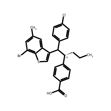 CCC[C@H](c1ccc(C(=O)O)cc1)C(c1ccc(Cl)cc1)c1csc2c(Br)cc(C)cc12